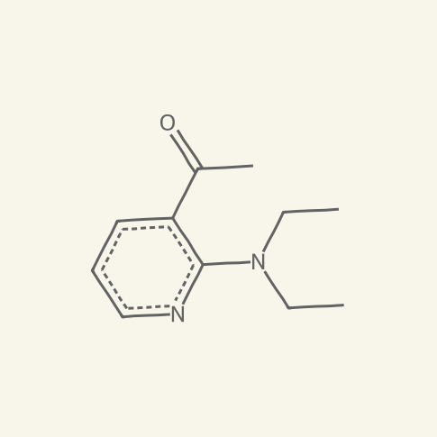 CCN(CC)c1ncccc1C(C)=O